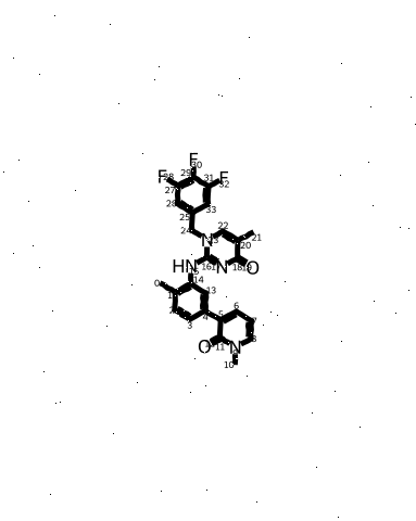 Cc1ccc(-c2cccn(C)c2=O)cc1Nc1nc(=O)c(C)cn1Cc1cc(F)c(F)c(F)c1